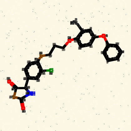 CCCc1cc(Oc2ccccc2)ccc1OCCCSc1ccc(C2NC(=O)SC2=O)cc1Cl